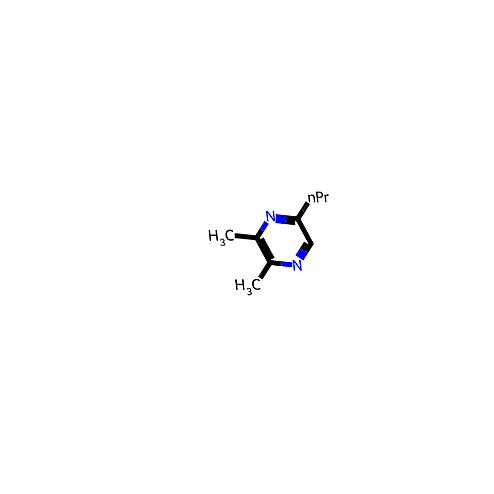 CCCc1cnc(C)c(C)n1